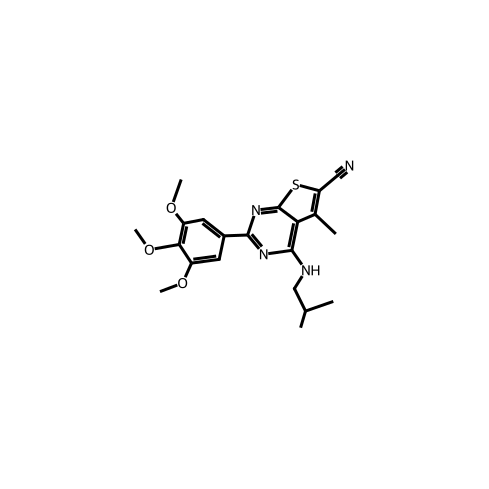 COc1cc(-c2nc(NCC(C)C)c3c(C)c(C#N)sc3n2)cc(OC)c1OC